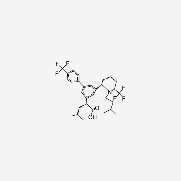 CC(C)CCN1[C@@H](c2cc(-c3ccc(C(F)(F)F)cc3)cc([C@H](CC(C)C)C(=O)O)c2)CCC[C@H]1C(F)(F)F